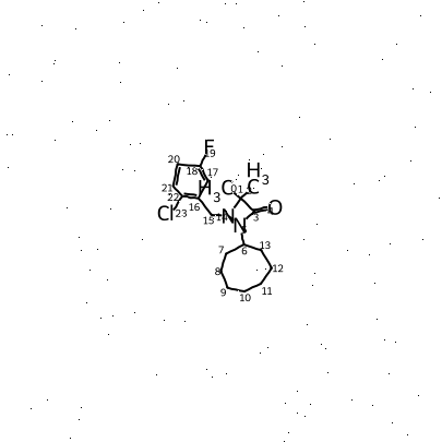 CC1(C)C(=O)N(C2CCCCCCC2)N1Cc1cc(F)ccc1Cl